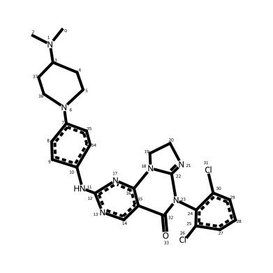 CN(C)C1CCN(c2ccc(Nc3ncc4c(n3)N3CCN=C3N(c3c(Cl)cccc3Cl)C4=O)cc2)CC1